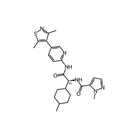 Cc1nsc(C)c1-c1ccc(NC(=O)[C@@H](NC(=O)c2ccnn2C)C2CCC(C)CC2)nc1